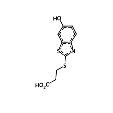 O=C(O)CCSc1nc2ccc(O)cc2s1